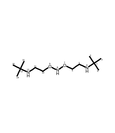 CC(C)(C)NCCONOCCNC(C)(C)C